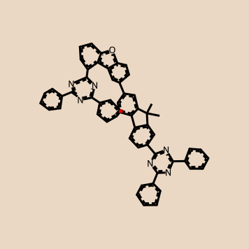 CC1(C)c2cc(-c3ccc4oc5cccc(-c6nc(-c7ccccc7)nc(-c7ccccc7)n6)c5c4c3)ccc2-c2ccc(-c3nc(-c4ccccc4)nc(-c4ccccc4)n3)cc21